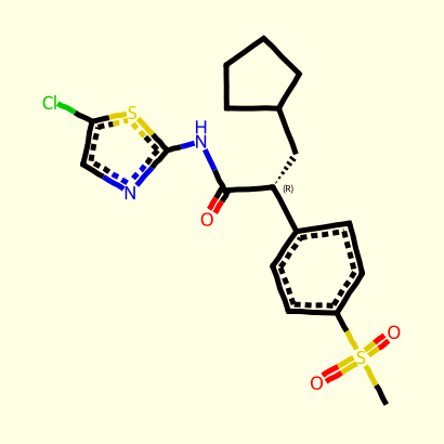 CS(=O)(=O)c1ccc([C@@H](CC2CCCC2)C(=O)Nc2ncc(Cl)s2)cc1